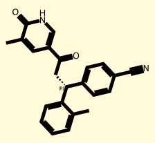 Cc1ccccc1[C@H](CC(=O)c1c[nH]c(=O)c(C)c1)c1ccc(C#N)cc1